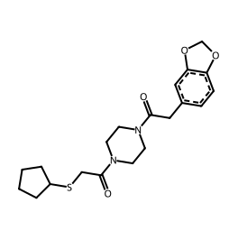 O=C(CSC1CCCC1)N1CCN(C(=O)Cc2ccc3c(c2)OCO3)CC1